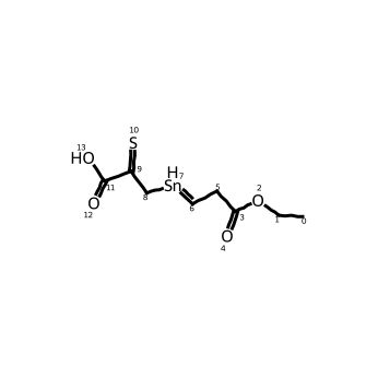 CCOC(=O)C[CH]=[SnH][CH2]C(=S)C(=O)O